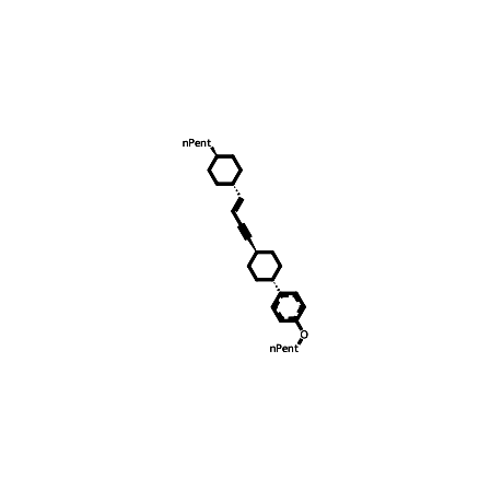 CCCCCOc1ccc([C@H]2CC[C@H](C#CC=C[C@H]3CC[C@H](CCCCC)CC3)CC2)cc1